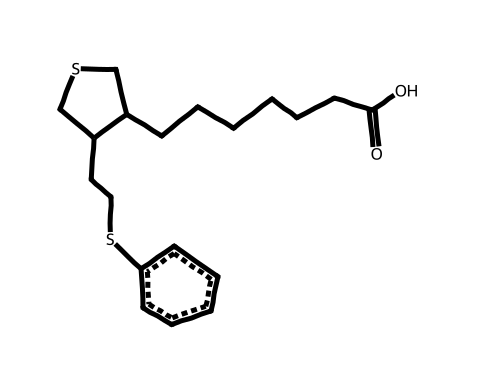 O=C(O)CCCCCCC1CSCC1CCSc1ccccc1